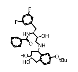 CC(C)(C)Oc1ccc2c(c1)[C@@H](NC[C@H](O)[C@H](Cc1cc(F)cc(F)c1)NC(=O)c1ccccc1)CS(O)(O)C2